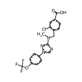 CN(Cc1ccc(C(=O)O)cc1Cl)c1ncn(-c2ccc(OC(F)(F)F)cc2)n1